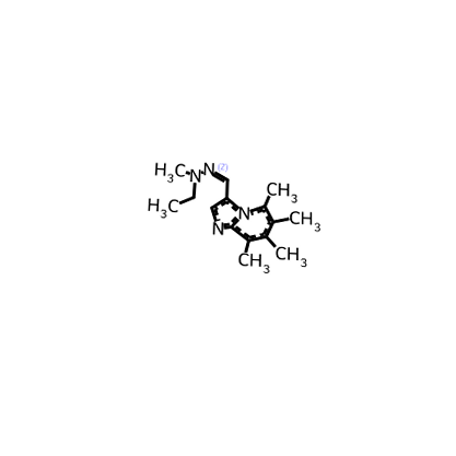 CCN(C)/N=C\c1cnc2c(C)c(C)c(C)c(C)n12